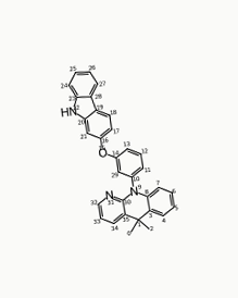 CC1(C)c2ccccc2N(c2cccc(Oc3ccc4c(c3)[nH]c3ccccc34)c2)c2ncccc21